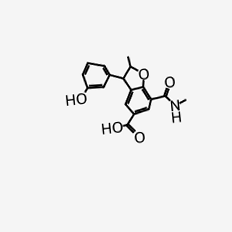 CNC(=O)c1cc(C(=O)O)cc2c1OC(C)C2c1cccc(O)c1